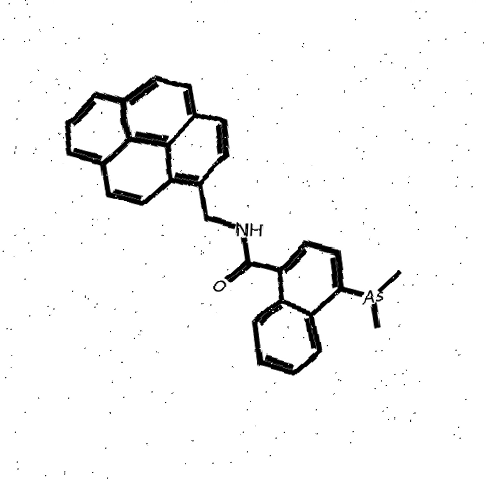 C[As](C)c1ccc(C(=O)NCc2ccc3ccc4cccc5ccc2c3c45)c2ccccc12